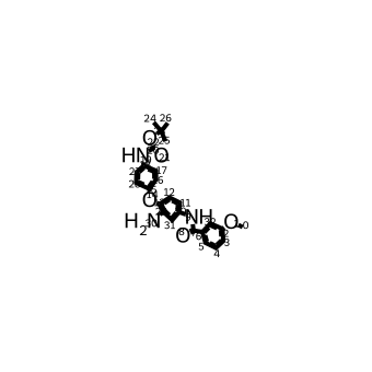 COc1cccc(C(=O)Nc2ccc(Oc3ccc(NC(=O)OC(C)(C)C)cc3)c(N)c2)c1